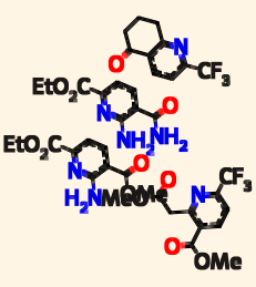 CCOC(=O)c1ccc(C(=O)OC)c(N)n1.CCOC(=O)c1ccc(C(N)=O)c(N)n1.COC(=O)Cc1nc(C(F)(F)F)ccc1C(=O)OC.O=C1CCCc2nc(C(F)(F)F)ccc21